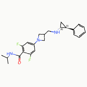 CC(C)NC(=O)c1c(F)cc(N2CC(CN[C@@H]3C[C@H]3c3ccccc3)C2)cc1F